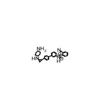 N#Cc1ccccc1S(=O)(=O)Nc1cccc(-c2ccc(C3CC3N[C@H]3CC[C@H](N)CC3)cc2)c1